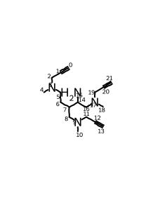 C#CCN(C)CCC(CN(C)CC#C)C(N)CN(C)CC#C